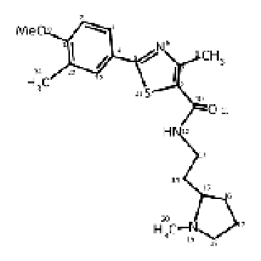 COc1ccc(-c2nc(C)c(C(=O)NCCC3CCCN3C)s2)cc1C